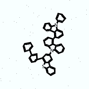 c1ccc(-c2cccc(-c3cc(-n4c5ccccc5c5c(-c6cccc7c6c6ccccc6n7-c6ccccc6)cccc54)cc4c3sc3ccccc34)c2)cc1